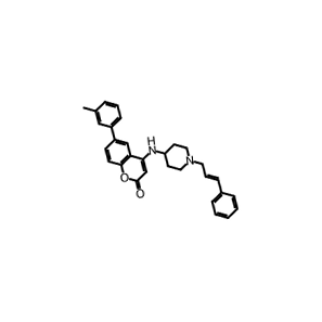 Cc1cccc(-c2ccc3oc(=O)cc(NC4CCN(CC=Cc5ccccc5)CC4)c3c2)c1